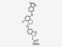 COC(=O)C[C@@H]1COc2cc(O[C@@H]3CCc4c(Oc5ccc6c(c5)ncn6C)ccc(F)c43)ccc21